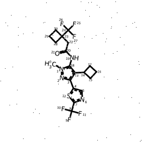 Cn1nc(-c2cnc(C(F)(F)F)s2)c(C2CCC2)c1NC(=O)CC1(C(F)(F)F)CCC1